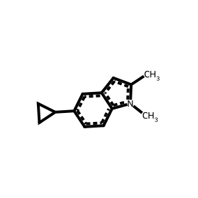 Cc1cc2cc(C3CC3)ccc2n1C